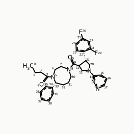 CCCC(=O)N1CCN(C(=O)C2CN(c3cccnn3)C[C@H]2c2ccc(F)cc2F)CCC[C@@H]1c1ccccc1